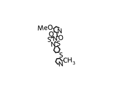 COc1ccnc2c(=O)n(-c3nc4ccc(Sc5cccnc5C)cc4s3)c(=S)oc12